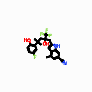 Cc1cc(C#N)cc2[nH]c(CC(O)(CC(C)(C)c3cc(F)ccc3O)C(F)(F)F)cc12